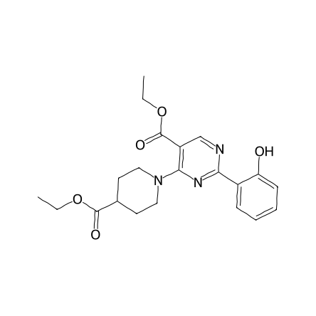 CCOC(=O)c1cnc(-c2ccccc2O)nc1N1CCC(C(=O)OCC)CC1